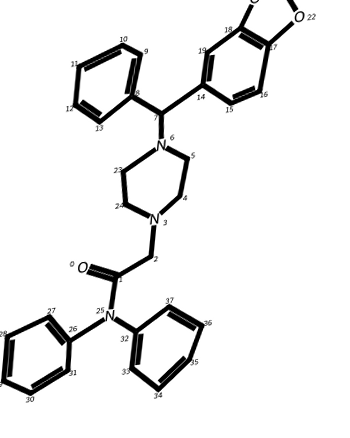 O=C(CN1CCN(C(c2ccccc2)c2ccc3c(c2)OCO3)CC1)N(c1ccccc1)c1ccccc1